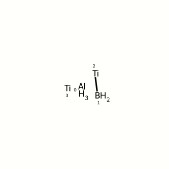 [AlH3].[BH2][Ti].[Ti]